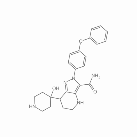 NC(=O)c1c2c(nn1-c1ccc(Oc3ccccc3)cc1)C(C1(O)CCNCC1)CCN2